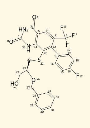 O=c1[nH]c(=O)c2cc(C(F)(F)F)c(-c3ccc(F)cc3)c(SC[C@H](CO)OCc3ccccc3)c2[nH]1